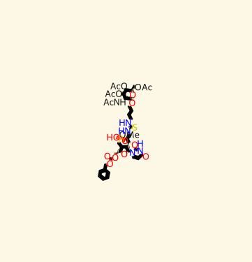 COP(=O)(O)CC1[C@@H](COC(=O)OCc2ccccc2)O[C@@H](n2ccc(=O)[nH]c2=O)[C@H]1CCCNC(=S)NCCCCO[C@@H]1O[C@H](COC(C)=O)[C@H](OC(C)=O)[C@H](OC(C)=O)[C@H]1NC(C)=O